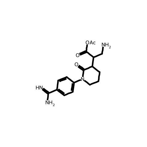 CC(=O)OC(=O)C(CN)C1CCCN(c2ccc(C(=N)N)cc2)C1=O